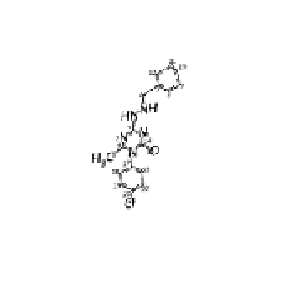 Cc1nc(NNCc2ccccc2)nc(=O)n1-c1ccc(Cl)cc1